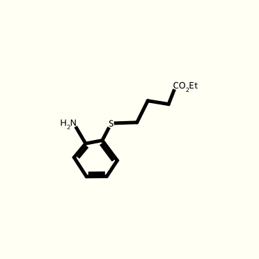 CCOC(=O)CCCSc1ccccc1N